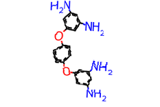 Nc1cc(N)cc(Oc2ccc(Oc3cc(N)cc(N)c3)cc2)c1